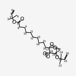 C=CC(C)(C)OC(=O)CCCCCCCCCC1(C2(C(=O)OC(C)(C)C=C)OO2)OO1